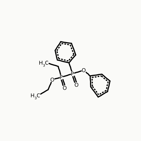 CCOP(=O)(CC)P(=O)(Oc1ccccc1)c1ccccc1